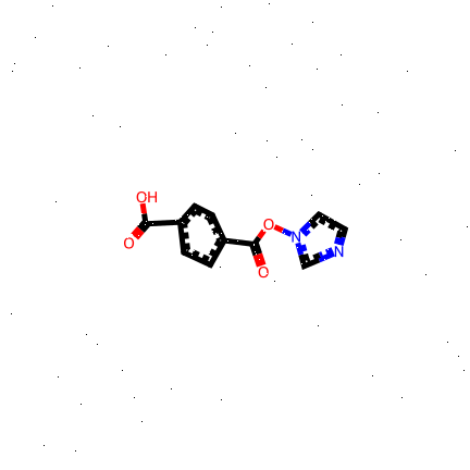 O=C(O)c1ccc(C(=O)On2ccnc2)cc1